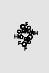 O=C(Nc1n[nH]c2c1CN(S(=O)(=O)c1cc(F)cc(F)c1)CC2)c1c(F)cccc1NC(=O)[C@H]1CCCN1